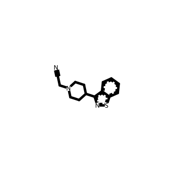 N#CCN1CCC(c2nsc3ccccc23)CC1